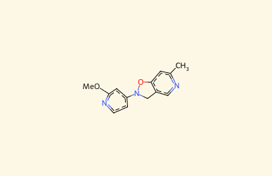 COc1cc(N2Cc3cnc(C)cc3O2)ccn1